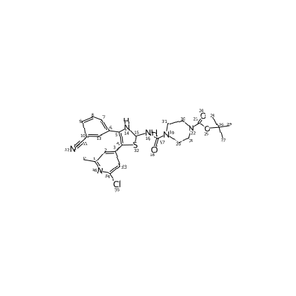 Cc1cc(C2=C(c3cccc(C#N)c3)NC(NC(=O)N3CCN(C(=O)OC(C)(C)C)CC3)S2)cc(Cl)n1